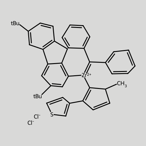 CC1C=CC(c2ccsc2)=[C]1[Zr+2](=[C](c1ccccc1)c1ccccc1)[c]1cc(C(C)(C)C)cc2c1Cc1ccc(C(C)(C)C)cc1-2.[Cl-].[Cl-]